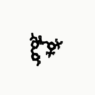 COc1ccc(CN2CCC(CC(C)C)(C(=O)NCc3cc(C(F)(F)F)cc(C(F)(F)F)c3)CC2)cn1